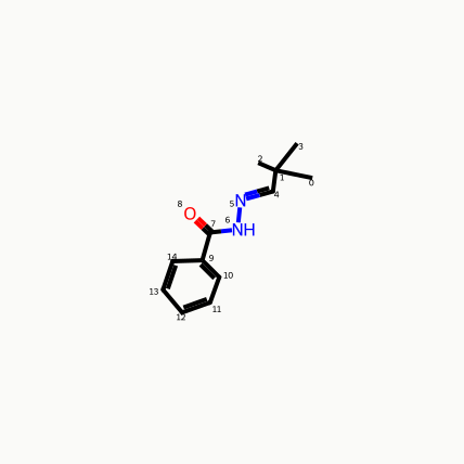 CC(C)(C)C=NNC(=O)c1ccccc1